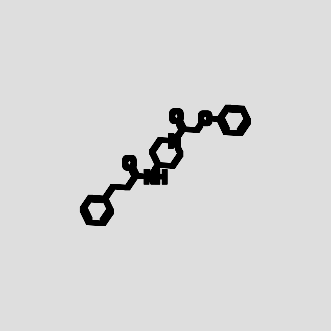 O=C(CCc1ccccc1)NC1CCN(C(=O)COc2ccccc2)CC1